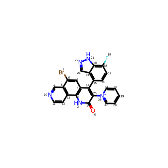 O=c1[nH]c2c(cc(Br)c3cnccc32)c(-c2ccc(F)c3[nH]ncc23)c1-[n+]1ccccc1